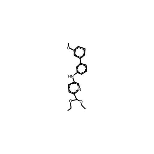 CCOC(OCC)c1ccc(Nc2cccc(-c3cccc(OC)c3)c2)cn1